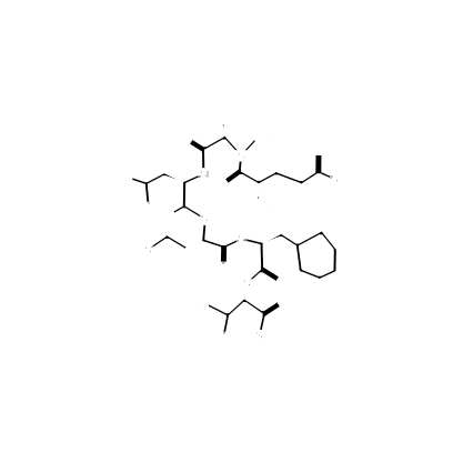 CC(C)C[C@@H](NC(=O)[C@H](C)N(C)C(=O)[C@@H](C)CCC(N)=O)C(O)N[C@@H](CCN)C(=O)N[C@@H](CC1CCCCC1)C(=O)N[C@H](C(N)=O)C(C)C